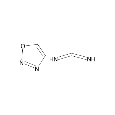 N=C=N.c1conn1